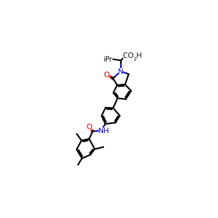 Cc1cc(C)c(C(=O)Nc2ccc(-c3ccc4c(c3)C(=O)N(C(C(=O)O)C(C)C)C4)cc2)c(C)c1